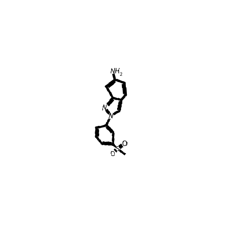 CS(=O)(=O)c1cccc(-n2cc3ccc(N)cc3n2)c1